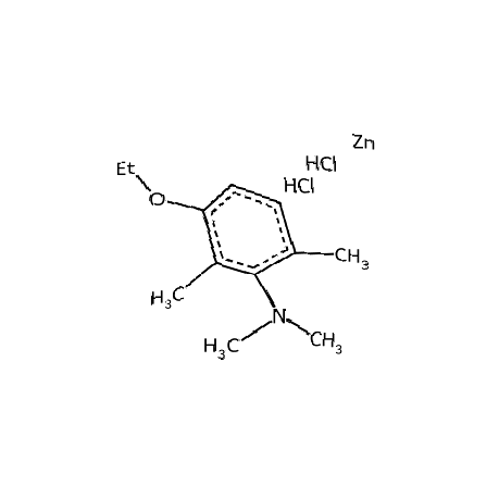 CCOc1ccc(C)c(N(C)C)c1C.Cl.Cl.[Zn]